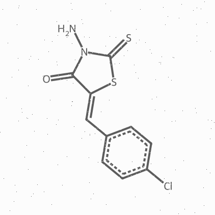 NN1C(=O)C(=Cc2ccc(Cl)cc2)SC1=S